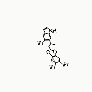 CC(C)c1cc2cc[nH]c2cc1C(C)CC1Oc2cc(C(C)C)c(C(C)C)nc2O1